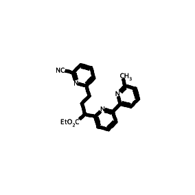 CCOC(=O)C(CCc1cccc(C#N)n1)c1cccc(-c2cccc(C)n2)n1